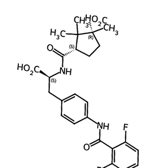 CC1(C)[C@@H](C(=O)N[C@@H](Cc2ccc(NC(=O)c3c(F)cccc3F)cc2)C(=O)O)CC[C@@]1(C)C(=O)O